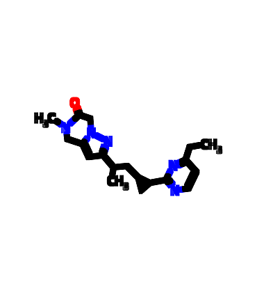 CCc1ccnc(C2CC2CC(C)c2cc3n(n2)CC(=O)N(C)C3)n1